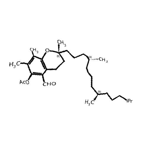 CC(=O)Oc1c(C)c(C)c2c(c1C=O)CC[C@@](C)(CCC[C@H](C)CCC[C@H](C)CCCC(C)C)O2